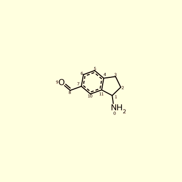 NC1CCc2ccc(C=O)cc21